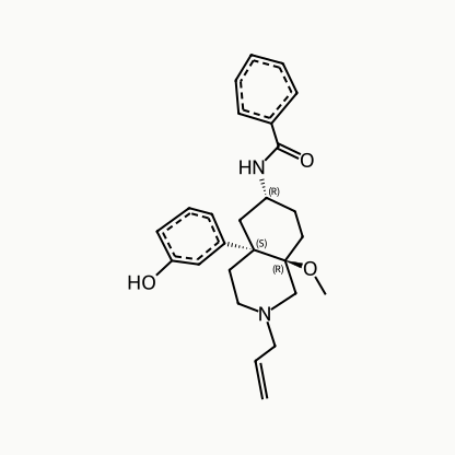 C=CCN1CC[C@@]2(c3cccc(O)c3)C[C@H](NC(=O)c3ccccc3)CC[C@]2(OC)C1